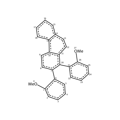 COc1ccccc1-c1ccc2c(ccc3ccccc32)c1-c1ccccc1OC